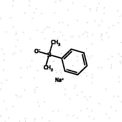 C[Si](C)([O-])c1ccccc1.[Na+]